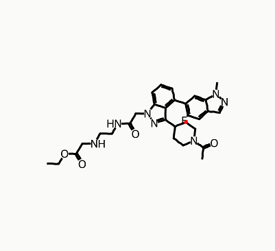 CCOC(=O)CNCCNC(=O)Cn1nc(C2CCN(C(C)=O)CC2)c2c(-c3cc4c(cnn4C)cc3F)cccc21